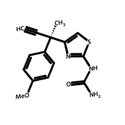 C#C[C@](C)(c1ccc(OC)cc1)c1csc(NC(N)=O)n1